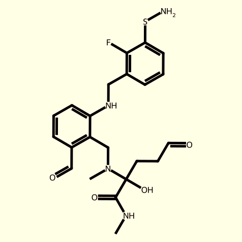 CNC(=O)C(O)(CCC=O)N(C)Cc1c(C=O)cccc1NCc1cccc(SN)c1F